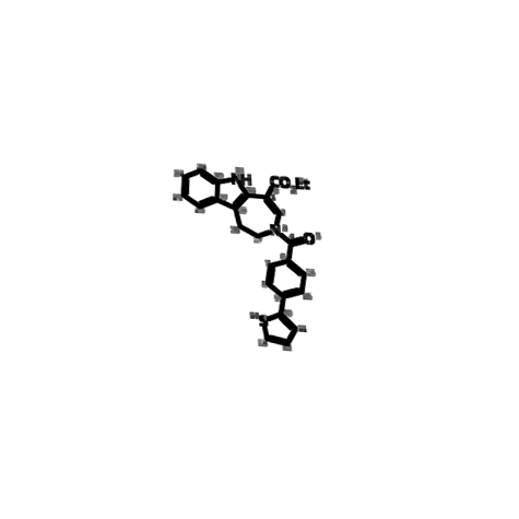 CCOC(=O)C1=CN(C(=O)c2ccc(-c3cccs3)cc2)CCc2c1[nH]c1ccccc21